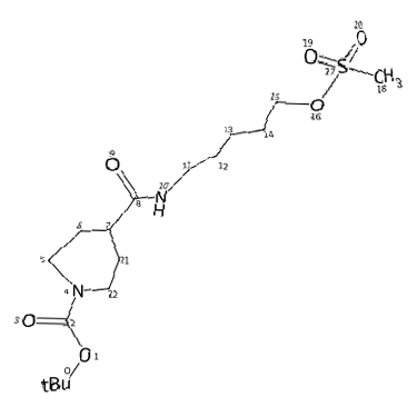 CC(C)(C)OC(=O)N1CCC(C(=O)NCCCCCOS(C)(=O)=O)CC1